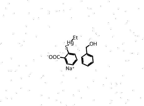 C[CH2][Hg][S]c1ccccc1C(=O)[O-].OCc1ccccc1.[Na+]